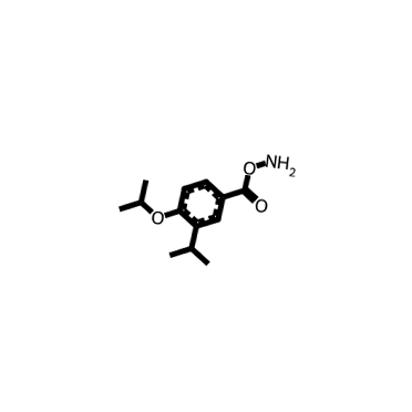 CC(C)Oc1ccc(C(=O)ON)cc1C(C)C